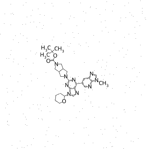 Cn1cnc2cc(-c3nc(N4CC5CN(C(=O)OC(C)(C)C)CC5C4)nc4c3ncn4C3CCCCO3)cnc21